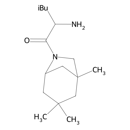 CCC(C)C(N)C(=O)N1CC2(C)CC1CC(C)(C)C2